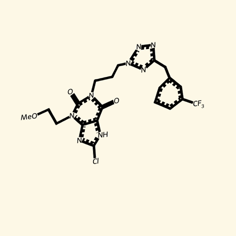 COCCn1c(=O)n(CCCn2nnc(Cc3cccc(C(F)(F)F)c3)n2)c(=O)c2[nH]c(Cl)nc21